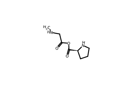 CNCC(=O)OC(=O)[C@@H]1CCCN1